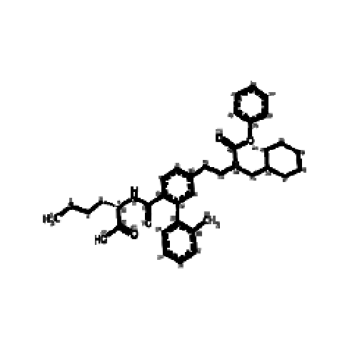 CSCC[C@H](NC(=O)c1ccc(CCN(CC2CCCCC2)C(=O)Oc2ccccc2)cc1-c1ccccc1C)C(=O)O